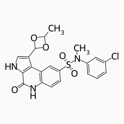 CC1OC(c2c[nH]c3c(=O)[nH]c4ccc(S(=O)(=O)N(C)c5cccc(Cl)c5)cc4c23)O1